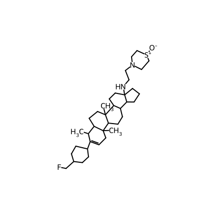 CC1C(C2CCC(CF)CC2)=CCC2(C)C1CCC1(C)C3CCC4(NCCN5CC[S+]([O-])CC5)CCCC4C3CCC21